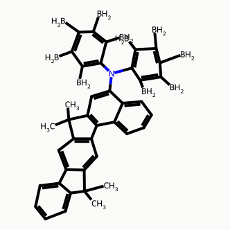 Bc1c(B)c(B)c(N(c2c(B)c(B)c(B)c(B)c2B)c2cc3c(c4ccccc24)-c2cc4c(cc2C3(C)C)-c2ccccc2C4(C)C)c(B)c1B